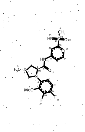 COc1c(N2C[C@H](C(F)(F)F)C[C@H]2C(=O)Nc2ccnc([S@](C)(=N)=O)c2)ccc(F)c1F